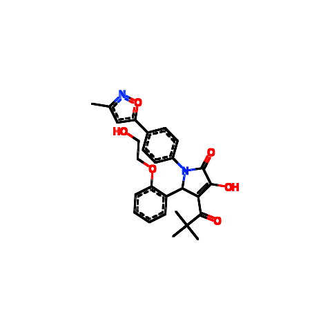 Cc1cc(-c2ccc(N3C(=O)C(O)=C(C(=O)C(C)(C)C)C3c3ccccc3OCCO)cc2)on1